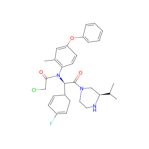 Cc1cc(Oc2ccccc2)ccc1N(C(=O)CCl)[C@@H](C(=O)N1CCN[C@H](C(C)C)C1)C1C=CC(F)=CC1